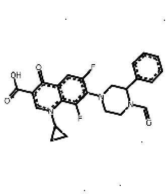 O=CN1CCN(c2c(F)cc3c(=O)c(C(=O)O)cn(C4CC4)c3c2F)CC1c1ccccc1